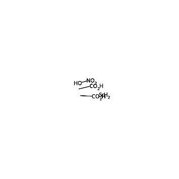 CC(=O)O.CC(=O)O.O=[N+]([O-])O.[SrH2]